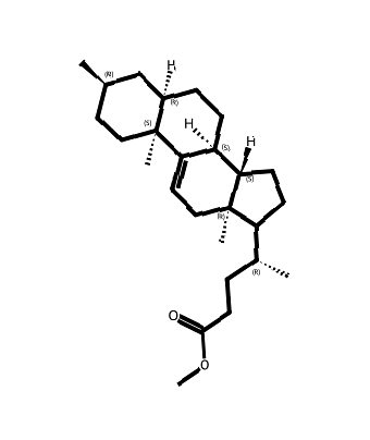 COC(=O)CC[C@@H](C)C1CC[C@H]2[C@@H]3CC[C@@H]4C[C@H](C)CC[C@]4(C)C3=CC[C@]12C